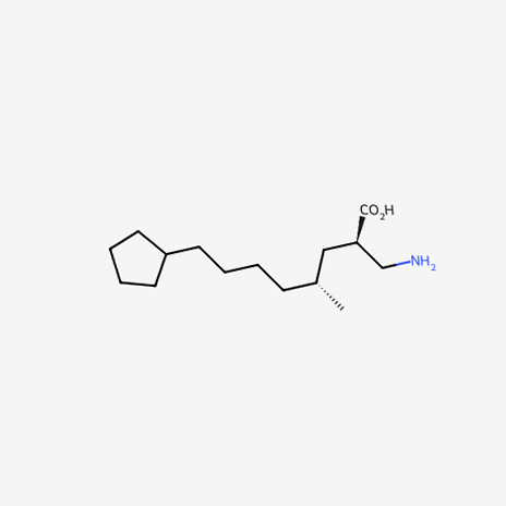 C[C@H](CCCCC1CCCC1)C[C@H](CN)C(=O)O